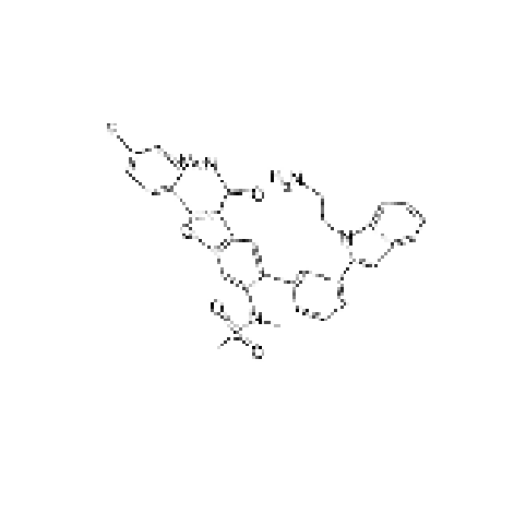 CNC(=O)c1c(-c2ccc(F)cc2)oc2cc(N(C)S(C)(=O)=O)c(-c3cccc(-c4cc5ccccc5n4CCN)c3)cc12